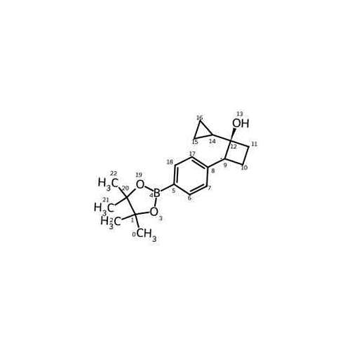 CC1(C)OB(c2ccc([C]3CC[C@@]3(O)C3CC3)cc2)OC1(C)C